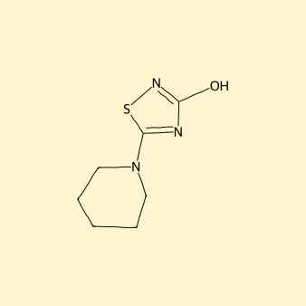 Oc1nsc(N2CCCCC2)n1